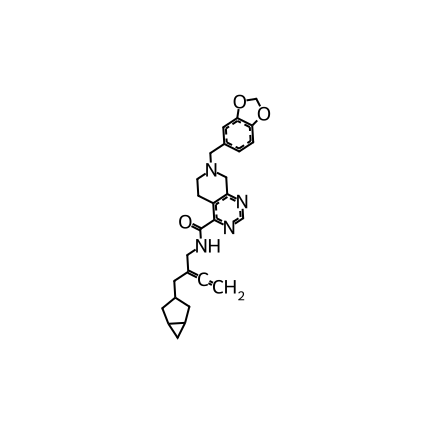 C=C=C(CNC(=O)c1ncnc2c1CCN(Cc1ccc3c(c1)OCO3)C2)CC1CC2CC2C1